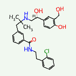 CC(C)(Cc1cccc(C(=O)NCCc2ccccc2Cl)c1)NC[C@H](O)c1ccc(O)c(CO)c1